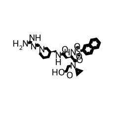 N=C(N)N=CN1CCC[C@H](CNC(=O)C[C@@H](NS(=O)(=O)c2ccc3ccccc3c2)C(=O)N(CC(=O)O)C2CC2)C1